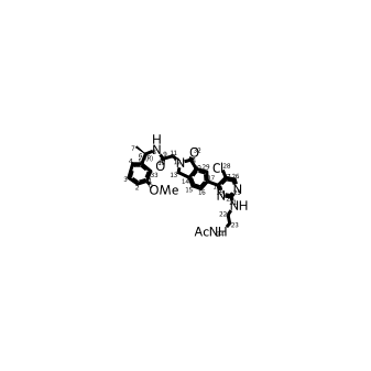 COc1cccc([C@@H](C)NC(=O)CN2Cc3ccc(-c4nc(NCCNC(C)=O)ncc4Cl)cc3C2=O)c1